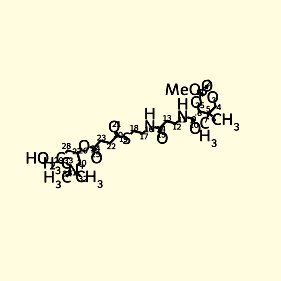 COP1(=O)OCC(C)(C)[C@H](C(=O)NCCC(=O)NCCSC(=O)CCC(=O)O[C@H](CC(=O)O)C[N+](C)(C)C)O1